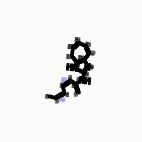 C=C(/C=C\C=C/C)Nc1nc2c([nH]1)CC=CC=C2